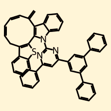 C=C1/C=C\C=C/Cc2c(sc3ccccc23)-c2c1c1ccccc1n2-c1nc(-c2ccccc2)cc(-c2cc(-c3ccccc3)cc(-c3ccccc3)c2)n1